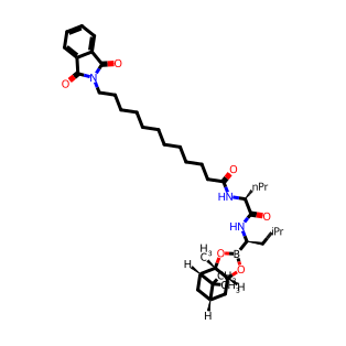 CCC[C@H](NC(=O)CCCCCCCCCCCN1C(=O)c2ccccc2C1=O)C(=O)N[C@@H](CC(C)C)B1O[C@@H]2C[C@@H]3C[C@@H](C3(C)C)[C@]2(C)O1